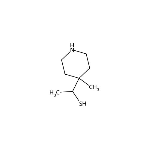 CC(S)C1(C)CCNCC1